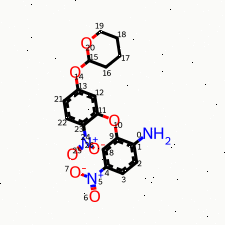 Nc1ccc([N+](=O)[O-])cc1Oc1cc(OC2CCCCO2)ccc1[N+](=O)[O-]